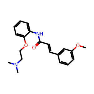 COc1cccc(C=CC(=O)Nc2ccccc2OCCN(C)C)c1